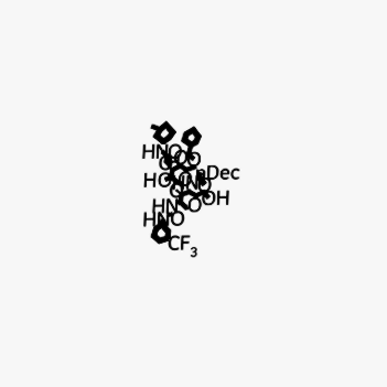 CCCCCCCCCCC(=O)N[C@H]1C(CO)OCC(NC(=O)Nc2cccc(C(F)(F)F)c2)[C@H]1O[C@H]1OC2COC(c3ccccc3)O[C@@H]2[C@H](OC(=O)Nc2cccc(C)c2)C1O